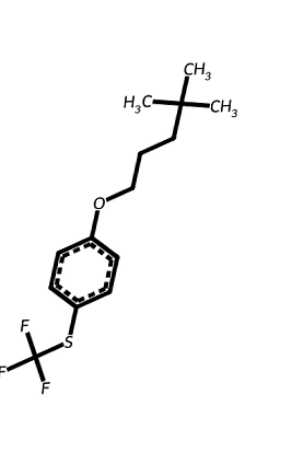 CC(C)(C)CCCOc1ccc(SC(F)(F)F)cc1